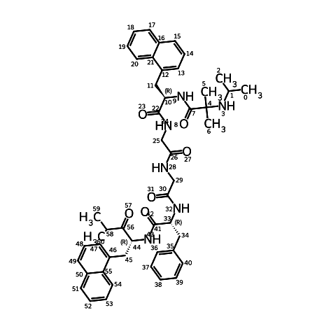 CC(C)NC(C)(C)C(=O)N[C@H](Cc1cccc2ccccc12)C(=O)NCC(=O)NCC(=O)N[C@H](Cc1ccccc1)C(=O)N[C@H](Cc1cccc2ccccc12)C(=O)C(C)C